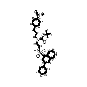 CC(C)(C)OC(=O)N(CCCc1ccc([N+](=O)[O-])cc1)CCNS(=O)(=O)c1cc(-c2ccccc2)cc2cnccc12